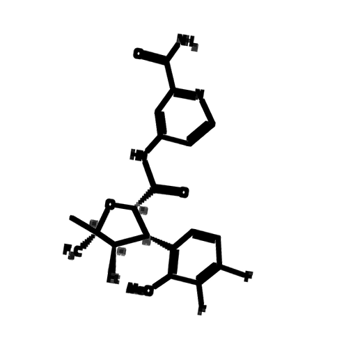 CC[C@@H]1[C@@H](c2ccc(F)c(F)c2OC)[C@@H](C(=O)Nc2ccnc(C(N)=O)c2)O[C@@]1(C)C(F)(F)F